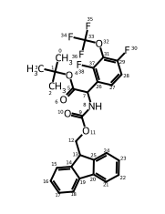 CC(C)(C)OC(=O)C(NC(=O)OCC1c2ccccc2-c2ccccc21)c1ccc(F)c(OC(F)(F)F)c1F